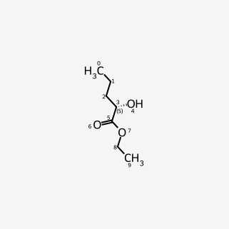 CCC[C@H](O)C(=O)OCC